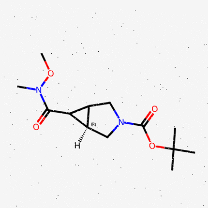 CON(C)C(=O)C1C2CN(C(=O)OC(C)(C)C)C[C@H]21